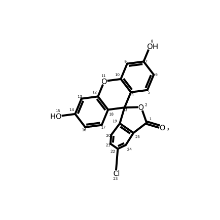 O=C1OC2(c3ccc(O)cc3Oc3cc(O)ccc32)c2ccc(Cl)cc21